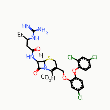 CCC(CC(=O)NC1C(=O)N2C(C(=O)O)=C(COc3cc(Cl)ccc3Oc3ccc(Cl)cc3Cl)CS[C@H]12)NC(=N)N